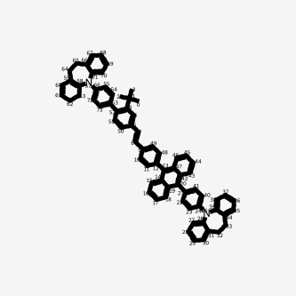 CC(C)(C)c1cc(/C=C/c2ccc(-c3c4ccccc4c(-c4ccc(N5c6ccccc6CCc6ccccc65)cc4)c4ccccc34)cc2)ccc1-c1ccc(N2C3=C(C=CCC3)CCc3ccccc32)cc1